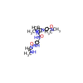 CN[C@@]12C[C@@H]1CN(C(=O)Nc1ccc(CNC(=O)c3nn(C(C)C)c4c3CN(c3ccc(C(=O)N(C)C)cc3)C[C@@H]4C)cc1)C2